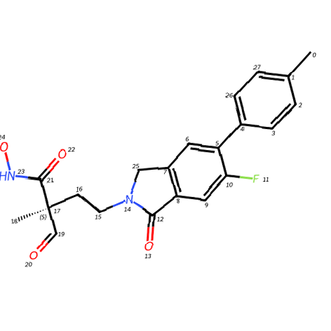 Cc1ccc(-c2cc3c(cc2F)C(=O)N(CC[C@@](C)(C=O)C(=O)NO)C3)cc1